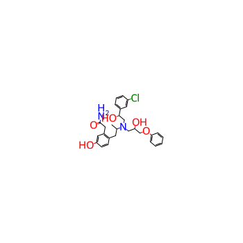 CC(Cc1ccc(O)cc1CC(N)=O)N(CC(O)COc1ccccc1)CC(O)c1cccc(Cl)c1